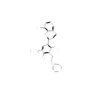 Nc1cc(-c2ccc3cccc(Cl)c3n2)c(OC(F)(F)F)c(CCN2CCOCC2)c1N